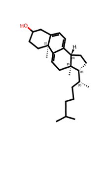 CC(C)CCC[C@@H](C)[C@H]1CC[C@H]2C3=CC=C4CC(O)CC[C@]4(C)C3=CC[C@]12C